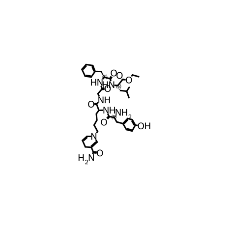 CCOC(=O)[C@H](CC(C)C)NC(=O)[C@H](Cc1ccccc1)NC(=O)CNC(=O)C(CCCCN1C=CCC(C(N)=O)=C1)NC(=O)[C@@H](N)Cc1ccc(O)cc1